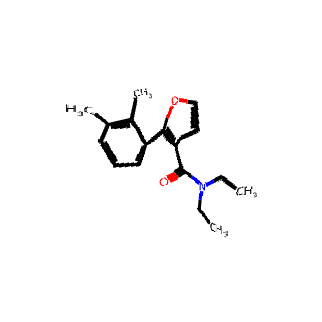 CCN(CC)C(=O)c1ccoc1-c1cccc(C)c1C